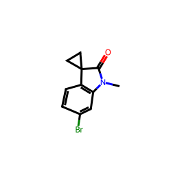 CN1C(=O)C2(CC2)c2ccc(Br)cc21